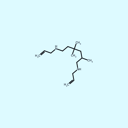 C=CCNCCC(C)(C)CC(C)CNCC=C